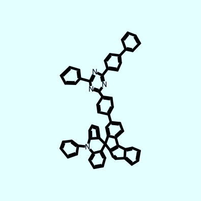 c1ccc(-c2ccc(-c3nc(-c4ccccc4)nc(-c4ccc(-c5ccc6c(c5)C5(c7ccccc7N(c7ccccc7)c7ccccc75)c5ccc7ccccc7c5-6)cc4)n3)cc2)cc1